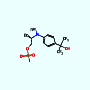 CCCN(c1ccc(C(O)(C(F)(F)F)C(F)(F)F)cc1)[C@H](CC)COS(C)(=O)=O